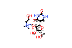 C[N+](C)(C)CCO.O=c1[nH]cc([C@@H]2O[C@H](CO)[C@@H](O)[C@H]2O)c(=O)[nH]1